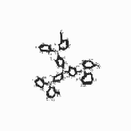 Cc1cccc(N(c2ccccc2)c2ccc(N(c3ccc(N(C4=CC(C)CC=C4)c4ccccc4)cc3)c3ccc(N(c4ccccc4)c4cccc(C)c4)cc3)cc2)c1